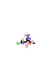 CCOC(=O)c1nn(PC)cc1C(O)c1nc(Br)cs1